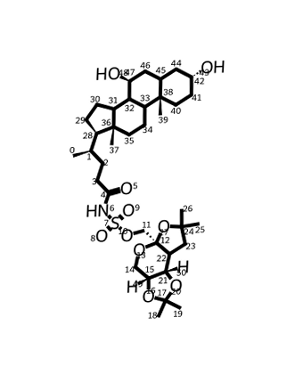 C[C@H](CCC(=O)NS(=O)(=O)OC[C@@]12OC[C@H]3OC(C)(C)O[C@H]3C1CC(C)(C)O2)[C@H]1CCC2C3C(CC[C@@]21C)[C@@]1(C)CC[C@@H](O)CC1C[C@@H]3O